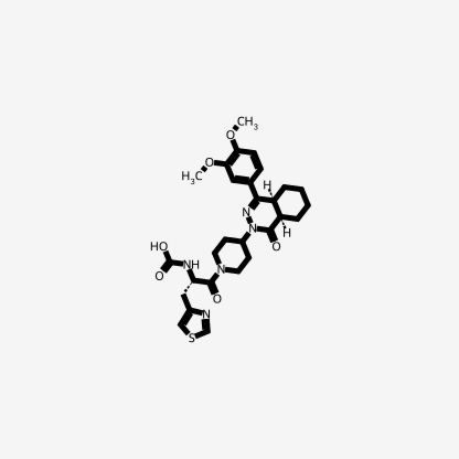 COc1ccc(C2=NN(C3CCN(C(=O)[C@H](Cc4cscn4)NC(=O)O)CC3)C(=O)[C@@H]3CCCC[C@H]23)cc1OC